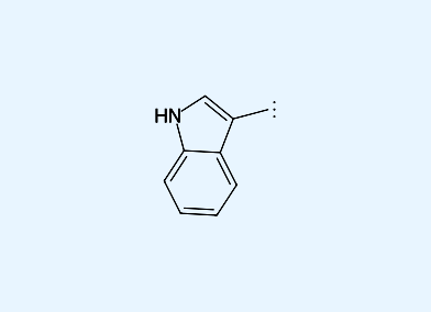 [C]c1c[nH]c2ccccc12